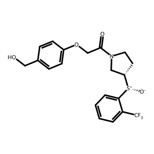 O=C(COc1ccc(CO)cc1)N1CC[C@H]([S@+]([O-])c2ccccc2C(F)(F)F)C1